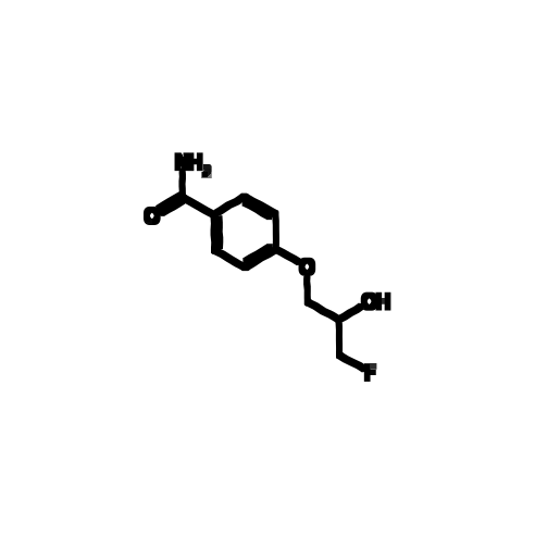 NC(=O)c1ccc(OCC(O)CF)cc1